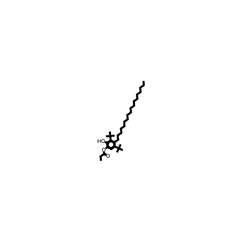 CCCCCCCCCCCCCCCCCCc1c(C(C)(C)C)cc(OC(=O)CC)c(O)c1C(C)(C)C